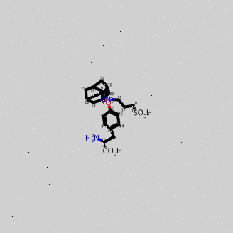 N[C@@H](Cc1ccc(OC23CC4CC(C2)C(NCCCS(=O)(=O)O)C(C4)C3)cc1)C(=O)O